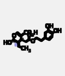 C/C=C1/[C@H](O)OC=C(C(=O)O)[C@H]1CC(=O)OCCc1ccc(O)c(O)c1